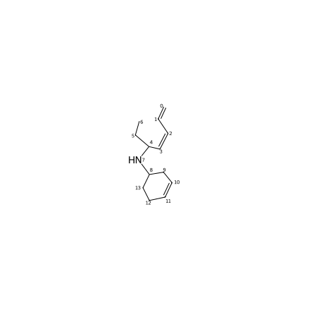 C=C/C=C\C(CC)NC1CC=CCC1